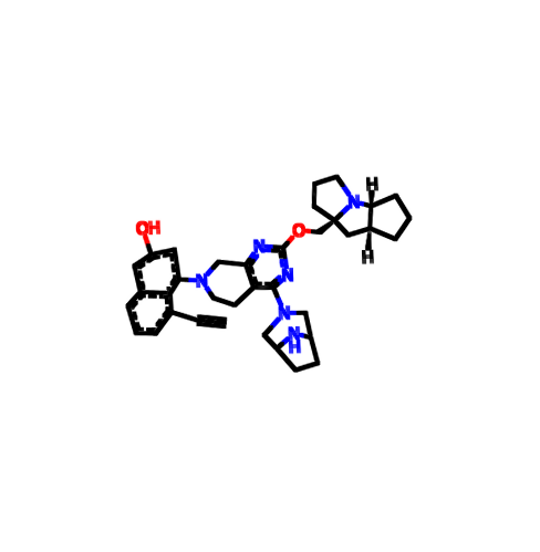 C#Cc1cccc2cc(O)cc(N3CCc4c(nc(OC[C@@]56CCCN5[C@@H]5CCC[C@@H]5C6)nc4N4CC5CCC(C4)N5)C3)c12